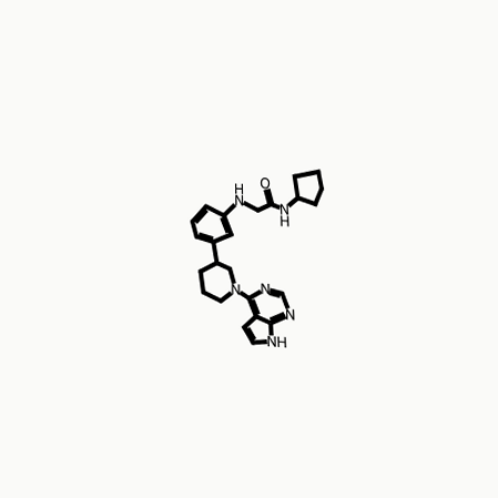 O=C(CNc1cccc(C2CCCN(c3ncnc4[nH]ccc34)C2)c1)NC1CCCC1